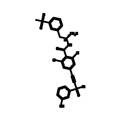 CCP(=O)(C#Cc1cc(Cl)c(C(=O)N[C@@H](Cc2cccc(S(C)(=O)=O)c2)C(=O)O)c(Cl)c1)c1cccc(O)c1